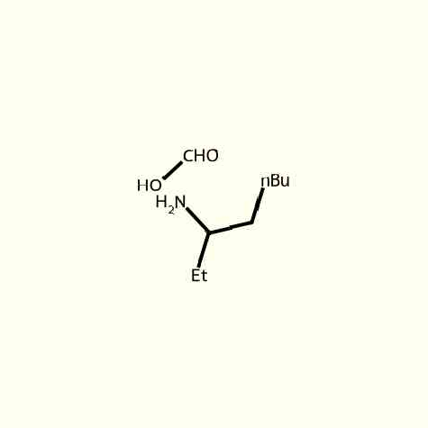 CCCCCC(N)CC.O=CO